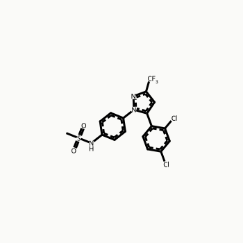 CS(=O)(=O)Nc1ccc(-n2nc(C(F)(F)F)cc2-c2ccc(Cl)cc2Cl)cc1